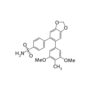 COc1cc(-c2cc3c(cc2-c2ccc(S(N)(=O)=O)cc2)OCO3)cc(OC)c1C